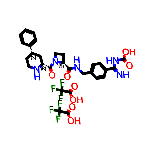 N=C(NC(=O)O)c1ccc(CNC(=O)[C@@H]2CCN2C(=O)[C@H]2C[C@@H](c3ccccc3)CCN2)cc1.O=C(O)C(F)(F)F.O=C(O)C(F)(F)F